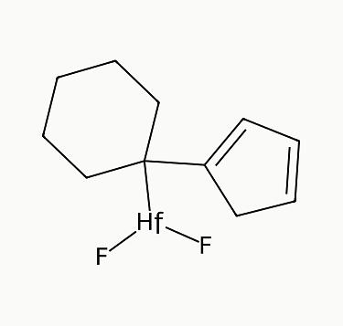 [F][Hf]([F])[C]1(C2=CC=CC2)CCCCC1